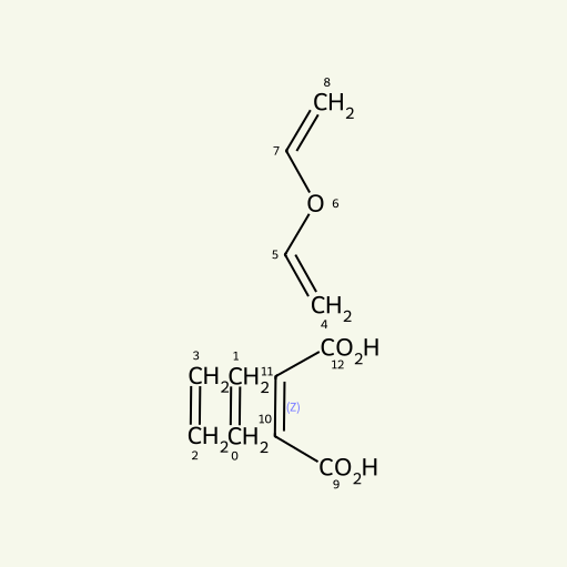 C=C.C=C.C=COC=C.O=C(O)/C=C\C(=O)O